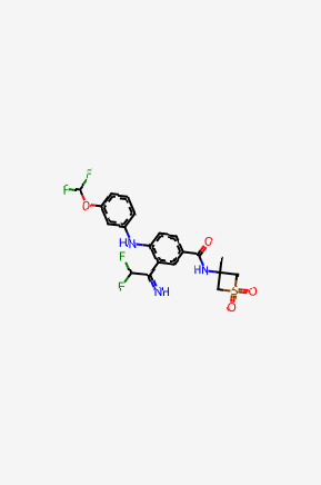 CC1(NC(=O)c2ccc(Nc3cccc(OC(F)F)c3)c(C(=N)C(F)F)c2)CS(=O)(=O)C1